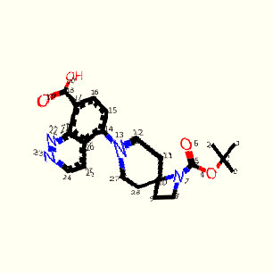 CC(C)(C)OC(=O)N1CCC12CCN(c1ccc(C(=O)O)c3nnccc13)CC2